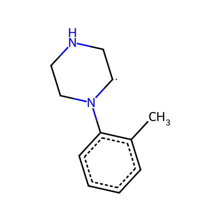 Cc1ccccc1N1[CH]CNCC1